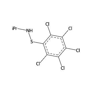 CC(C)NSc1c(Cl)c(Cl)c(Cl)c(Cl)c1Cl